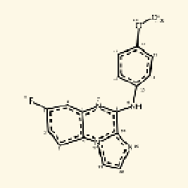 Fc1ccc2c(c1)nc(Nc1ccc(OC(F)(F)F)cc1)c1nccn12